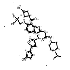 CC(C)N1CCC(NC(=O)Oc2nc3c(C(=O)N4CC(O)C4)c(OCC(F)(F)F)ccc3n2Cc2cc(-c3ccc(Cl)s3)on2)CC1